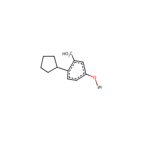 CC(C)Oc1ccc(C2CCCC2)c(C(=O)O)c1